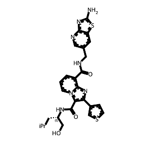 CC(C)C[C@@H](CO)NC(=O)c1c(-c2ccsc2)nc2c(C(=O)NCc3cnc4nc(N)sc4c3)cccn12